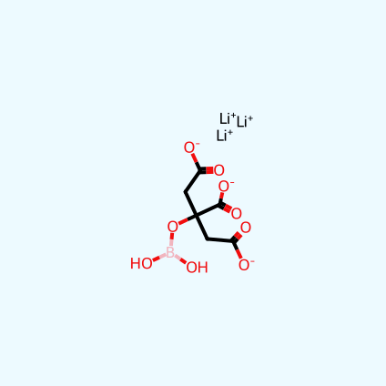 O=C([O-])CC(CC(=O)[O-])(OB(O)O)C(=O)[O-].[Li+].[Li+].[Li+]